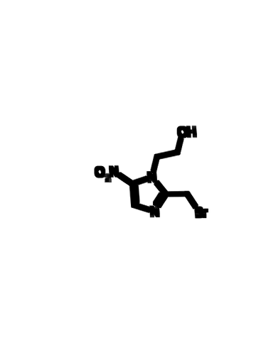 O=[N+]([O-])c1cnc(CBr)n1CCO